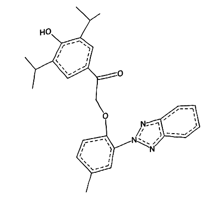 Cc1ccc(OCC(=O)c2cc(C(C)C)c(O)c(C(C)C)c2)c(-n2nc3ccccc3n2)c1